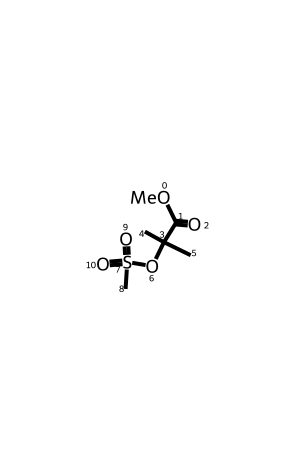 COC(=O)C(C)(C)OS(C)(=O)=O